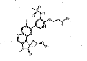 CC(C)NCCOc1ncc(-c2cc3c(cc2F)ncc2c3[C@]3(C[C@H](OC(C)C)C3)C(=O)N2C)cc1NS(C)(=O)=O